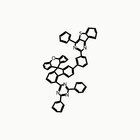 c1ccc(-c2nc(-c3ccccc3)nc(-c3cccc4c3-c3ccc(-c5cccc(-c6nc(-c7ccccc7)c7sc8ccccc8c7n6)c5)cc3C43c4ccccc4Oc4ccccc43)n2)cc1